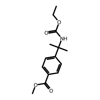 CCOC(=O)NC(C)(C)c1ccc(C(=O)OC)cc1